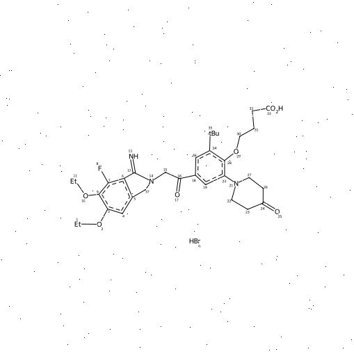 Br.CCOc1cc2c(c(F)c1OCC)C(=N)N(CC(=O)c1cc(N3CCC(=O)CC3)c(OCCCC(=O)O)c(C(C)(C)C)c1)C2